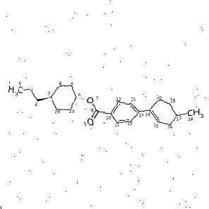 CCC[C@H]1CC[C@H](OC(=O)c2ccc(C3=CCC(C)CC3)cc2)CC1